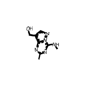 CNc1nc(C)nc2c(CO)cnn12